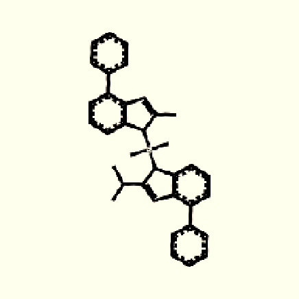 CC1=Cc2c(-c3ccccc3)cccc2C1[Si](C)(C)C1C(C(C)C)=Cc2c(-c3ccccc3)cccc21